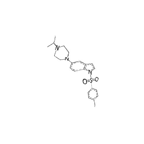 Cc1ccc(S(=O)(=O)n2ccc3cc(N4CCN(C(C)C)CC4)ccc32)cc1